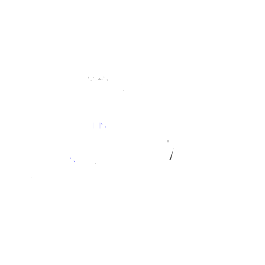 CNC(=O)c1[nH]c(C(=O)NCC(F)(F)F)cc1O[C@H](C)c1ccccc1F